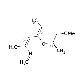 C=N/C(C)=C\C(=C/C)O[C@H](C)COC